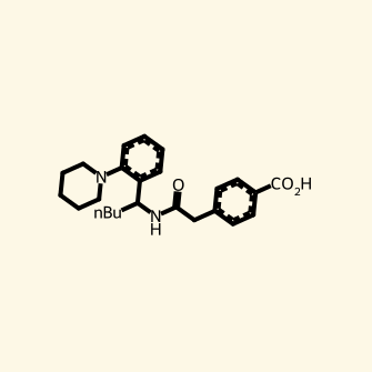 CCCCC(NC(=O)Cc1ccc(C(=O)O)cc1)c1ccccc1N1CCCCC1